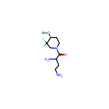 CO[C@H]1CCN(C(=O)C(N)CCN)CC1(F)F